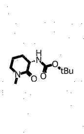 CN1CCC[C@H](NC(=O)OC(C)(C)C)C1=O